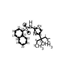 CCC(O)(CC)c1csc(NS(=O)(=O)c2cccc3ccccc23)n1